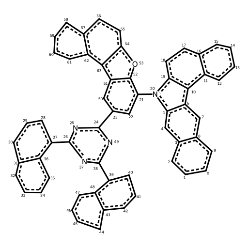 c1ccc2cc3c(cc2c1)c1c2ccccc2ccc1n3-c1cc(-c2nc(-c3cccc4ccccc34)nc(-c3cccc4ccccc34)n2)cc2c1oc1ccc3ccccc3c12